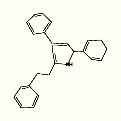 C1=CC(C2C=C(c3ccccc3)C=C(CCc3ccccc3)N2)=CCC1